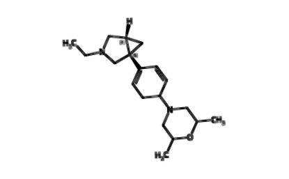 CCN1C[C@@H]2C[C@]2(C2=CCC(N3CC(C)OC(C)C3)C=C2)C1